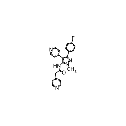 Cn1nc(-c2ccc(F)cc2)c(-c2ccncc2)c1NC(=O)Cc1ccncc1